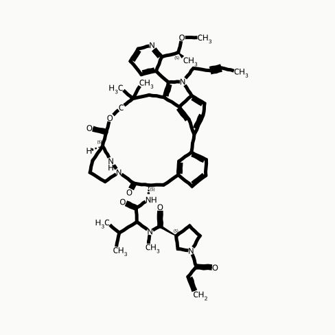 C=CC(=O)N1CC[C@H](C(=O)N(C)C(C(=O)N[C@H]2Cc3cccc(c3)-c3ccc4c(c3)c(c(-c3cccnc3[C@H](C)OC)n4CC#CC)CC(C)(C)COC(=O)[C@@H]3CCCN(N3)C2=O)C(C)C)C1